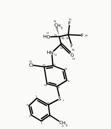 Cc1ccccc1Sc1ccc(NC(=O)[C@@](C)(O)C(F)(F)F)c(Cl)c1